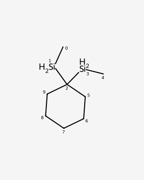 C[SiH2]C1([SiH2]C)CCCCC1